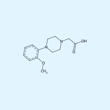 COc1ccccc1N1CCN(CC(=O)O)CC1